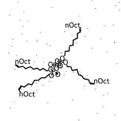 CCCCCCCC/C=C\CCCCCCCCOP(=O)(OCCCCCCCC/C=C\CCCCCCCC)O[PH](=O)OP(=O)(OCCCCCCCC/C=C\CCCCCCCC)OCCCCCCCC/C=C\CCCCCCCC